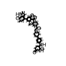 COc1cc(-c2cn(C)c(=O)c3[nH]ncc23)cc(OC)c1C(=O)N1CCN(C(=O)CN2CCC(c3ccc(NC4CCC(=O)NC4=O)cc3)CC2)CC1